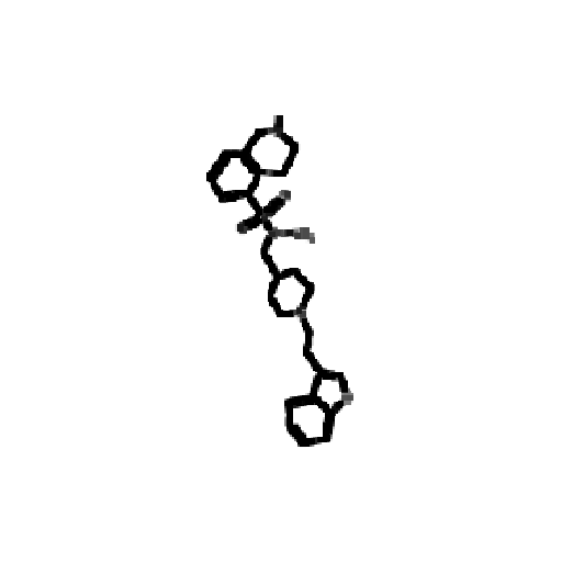 CN(CC1CCN(CCc2coc3ccccc23)CC1)S(=O)(=O)c1cccc2c1CCNC2